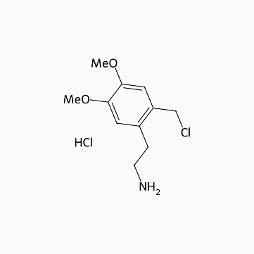 COc1cc(CCl)c(CCN)cc1OC.Cl